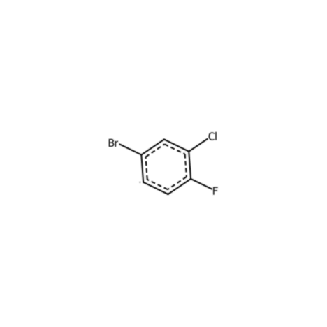 Fc1c[c]c(Br)cc1Cl